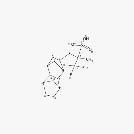 CC(CC1CC2CC1C1C3CCC(C3)C21)(C(F)(F)F)S(=O)(=O)O